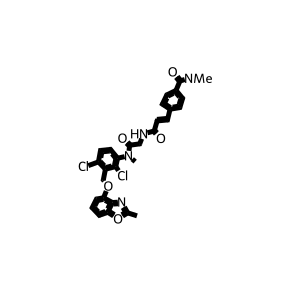 CNC(=O)c1ccc(C=CC(=O)NCC(=O)N(C)c2ccc(Cl)c(COc3cccc4oc(C)nc34)c2Cl)cc1